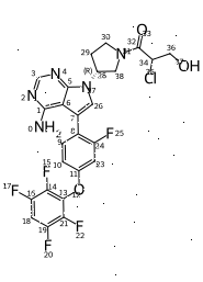 Nc1ncnc2c1c(-c1ccc(Oc3c(F)c(F)cc(F)c3F)cc1F)cn2[C@@H]1CCN(C(=O)C(Cl)CO)C1